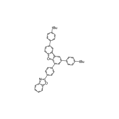 CC(C)(C)c1ccc(-c2ccc3oc4c(-c5ccc(-c6nc7ccccc7o6)cc5)cc(-c5ccc(C(C)(C)C)cc5)cc4c3c2)cc1